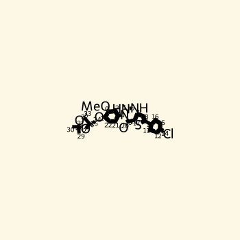 COc1cc(N2NNc3cc(-c4ccc(Cl)cc4)sc3C2=O)ccc1OC[C@H]1OC(C)(C)O[C@@H]1C